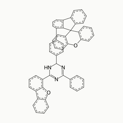 c1ccc(C2=NC(c3ccc(-c4cccc5c4C4(c6ccccc6Oc6ccccc64)c4ccccc4-5)cc3)NC(c3cccc4c3oc3ccccc34)=N2)cc1